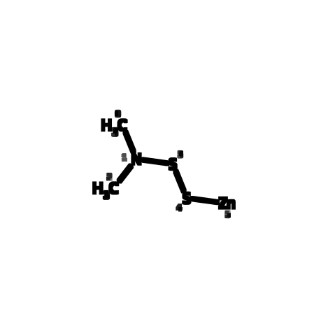 CN(C)S[S][Zn]